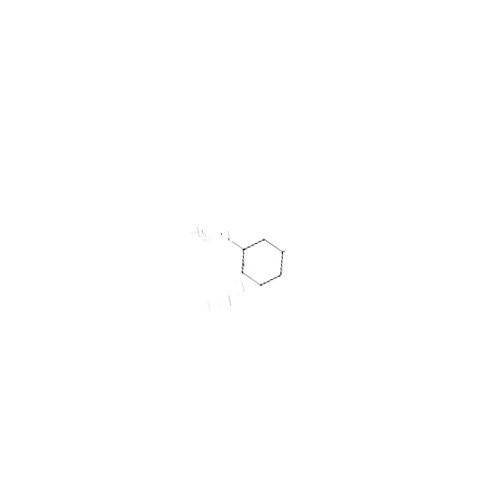 Cl.Cl.Cl.NC1CCCCC1